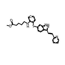 COC(=O)CCCCNc1ccccc1Sc1ccc2c(/C=C/c3ccccn3)n[nH]c2c1